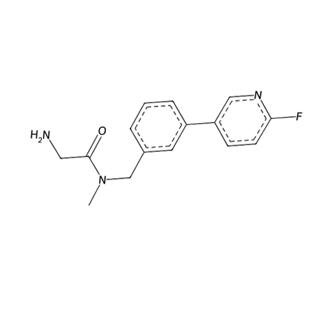 CN(Cc1cccc(-c2ccc(F)nc2)c1)C(=O)CN